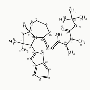 C[C@@H](C(=O)N[C@H]1CCO[C@H]2CC(C)(C)C(c3nc4ccccc4o3)N2C1=O)N(C)C(=O)OC(C)(C)C